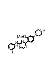 [CH2]c1cccc(Nc2ncnc(-c3ccc(N4CCNCC4)cc3OC)n2)c1